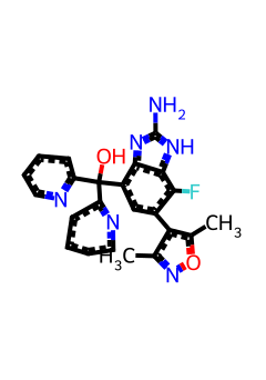 Cc1noc(C)c1-c1cc(C(O)(c2ccccn2)c2ccccn2)c2nc(N)[nH]c2c1F